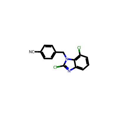 N#Cc1ccc(Cn2c(Cl)nc3cccc(Cl)c32)cc1